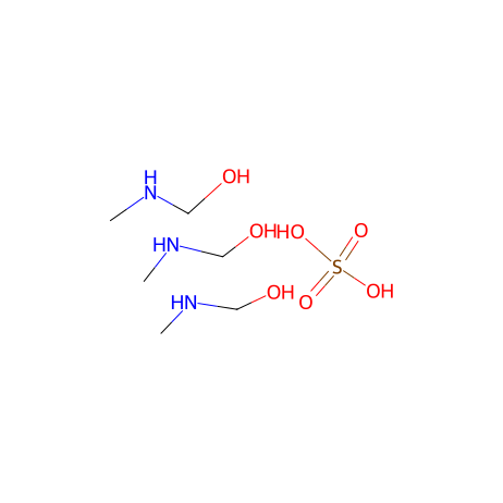 CNCO.CNCO.CNCO.O=S(=O)(O)O